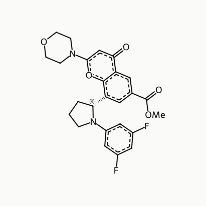 COC(=O)c1cc([C@H]2CCCN2c2cc(F)cc(F)c2)c2oc(N3CCOCC3)cc(=O)c2c1